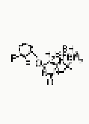 BC(B)(B)N1c2cc(OCc3cccc(F)c3F)nc(=O)n2CC1(C)C